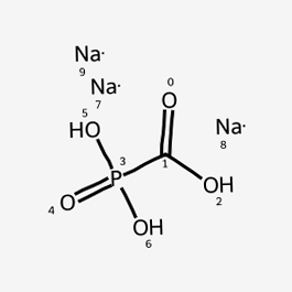 O=C(O)P(=O)(O)O.[Na].[Na].[Na]